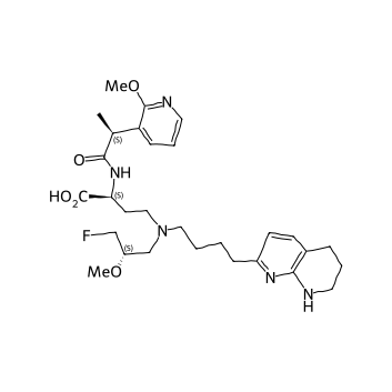 COc1ncccc1[C@H](C)C(=O)N[C@@H](CCN(CCCCc1ccc2c(n1)NCCC2)C[C@@H](CF)OC)C(=O)O